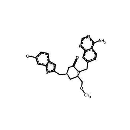 COCC1CN(Cc2cc3ccc(Cl)cc3s2)CC(=O)N1Cc1ccc2c(N)ncnc2c1